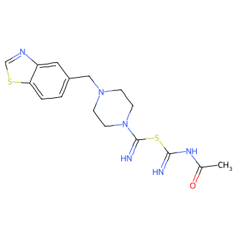 CC(=O)NC(=N)SC(=N)N1CCN(Cc2ccc3scnc3c2)CC1